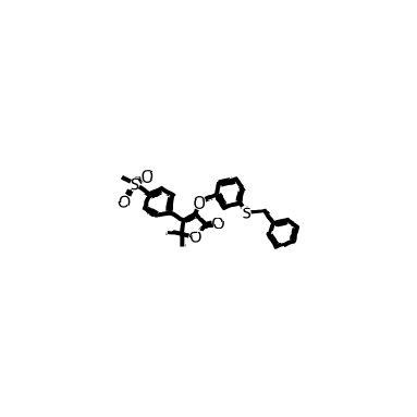 CC1(C)OC(=O)C(Oc2cccc(SCc3ccccc3)c2)=C1c1ccc(S(C)(=O)=O)cc1